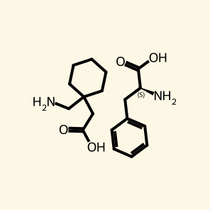 NCC1(CC(=O)O)CCCCC1.N[C@@H](Cc1ccccc1)C(=O)O